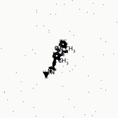 CC/C(=C/c1cccc(C#Cc2cnn(C3CC3)c2)c1C)N(C=O)c1ccccc1